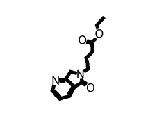 CCOC(=O)CCCN1Cc2ncccc2C1=O